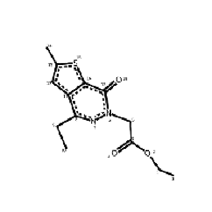 CCOC(=O)Cn1nc(CC)c2cc(C)sc2c1=O